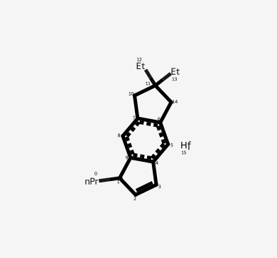 CCC[C]1C=Cc2cc3c(cc21)CC(CC)(CC)C3.[Hf]